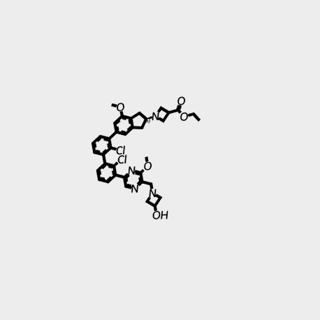 CCOC(=O)C1CN([C@H]2Cc3cc(-c4cccc(-c5cccc(-c6cnc(CN7CC(O)C7)c(OC)n6)c5Cl)c4Cl)cc(OC)c3C2)C1